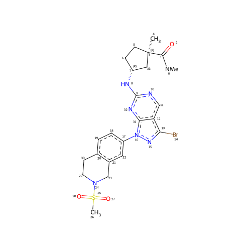 CNC(=O)[C@]1(C)CC[C@@H](Nc2ncc3c(Br)nn(-c4ccc5c(c4)CN(S(C)(=O)=O)CC5)c3n2)C1